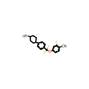 CCCC1CCC(c2ccc(C(F)(F)Oc3ccc(C#N)c(F)c3)cc2)CC1